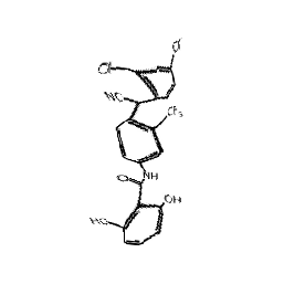 N#CC(c1ccc(Cl)cc1Cl)c1ccc(NC(=O)c2c(O)cccc2O)cc1C(F)(F)F